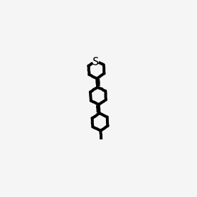 CC1CCC(=C2CCC(=C3CCSCC3)CC2)CC1